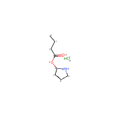 CCCC(=O)OC1CCCN1.Cl